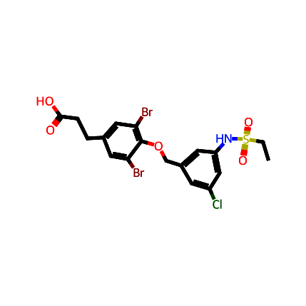 CCS(=O)(=O)Nc1cc(Cl)cc(COc2c(Br)cc(CCC(=O)O)cc2Br)c1